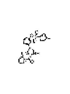 Cc1ccc(S(=O)(=O)Oc2cccc([C@@H]3CN[C@H](C(=O)N4CCC[C@H]4C#N)C3)c2C)cc1